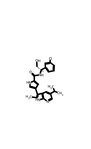 Cc1[nH]c2ncc(C(C)C)cc2c1-c1c[nH]c(C(=O)N[C@H](CO)c2cccc(Cl)c2)c1